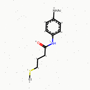 CCSCCCC(=O)Nc1ccc(NC(C)=O)cc1